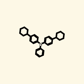 c1ccc(N(c2ccc(C3CCCCC3)cc2)c2ccc(C3CCCCC3)cc2)cc1